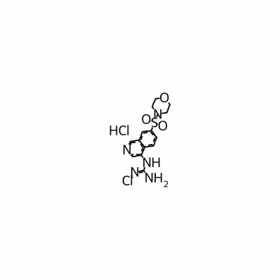 Cl.NC(=NCl)Nc1cncc2cc(S(=O)(=O)N3CCOCC3)ccc12